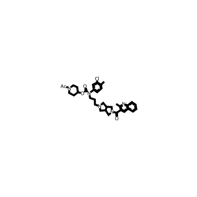 CC(=O)N1CCC(OC(=O)N(CCCN2CC3CN(C(=O)c4cc5ccccc5nc4C)CC3C2)c2ccc(C)c(Cl)c2)CC1